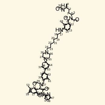 C=C(CCC(C)N(C=O)C(=O)c1cccc(NCCCCCCCCN2CCN(c3ccc(-c4ccc(CN(C=O)C(C(=O)Nc5nccs5)C(=C/C(C)F)/C(O)=C\CC)c(C)c4)cc3)CC2)c1C)NC=O